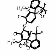 CSC1=C(Cl)C(OC2C=CC(c3ccccc3C(F)(F)F)([N+](=O)[O-])C(SC)=C2Cl)C=CC1(c1ccccc1C(F)(F)F)[N+](=O)[O-]